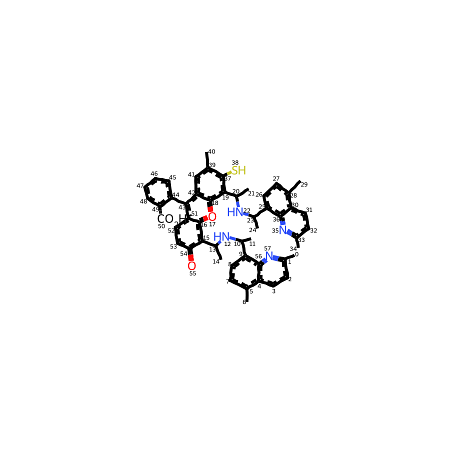 Cc1ccc2c(C)ccc(C(C)NC(C)c3c4oc5c(C(C)NC(C)c6ccc(C)c7ccc(C)nc67)c(S)c(C)cc5c(-c5ccccc5C(=O)O)c-4ccc3=O)c2n1